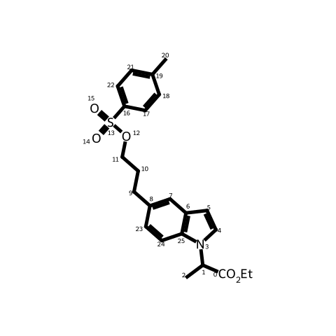 CCOC(=O)C(C)n1ccc2cc(CCCOS(=O)(=O)c3ccc(C)cc3)ccc21